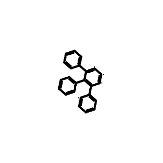 [c]1[c]c(-c2[c]cccc2)c(-c2ccccc2)c(-c2ccccc2)[c]1